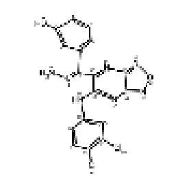 N/N=C(\c1cccc(O)c1)c1nc2nonc2nc1Nc1ccc(Cl)c(Cl)c1